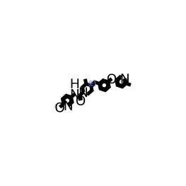 COc1ccc(NC(=O)N2CC/C(=C\c3cccc(Oc4ccc(C)nc4)c3)C(C)C2)cn1